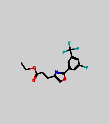 CCOC(=O)CCc1coc(-c2cc(F)cc(C(F)(F)F)c2)n1